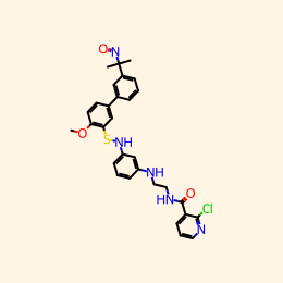 COc1ccc(-c2cccc(C(C)(C)N=O)c2)cc1SNc1cccc(NCCNC(=O)c2cccnc2Cl)c1